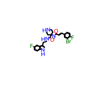 CN(C(=O)C=Cc1ccc(F)c(Br)c1)C1(C(=O)NCCc2c[nH]c3ccc(F)cc23)CCNCC1